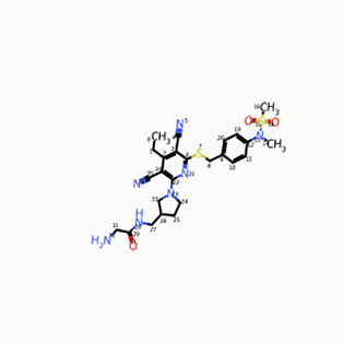 CCc1c(C#N)c(SCc2ccc(N(C)S(C)(=O)=O)cc2)nc(N2CCC(CNC(=O)CN)C2)c1C#N